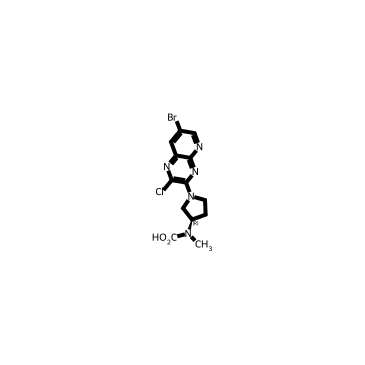 CN(C(=O)O)[C@@H]1CCN(c2nc3ncc(Br)cc3nc2Cl)C1